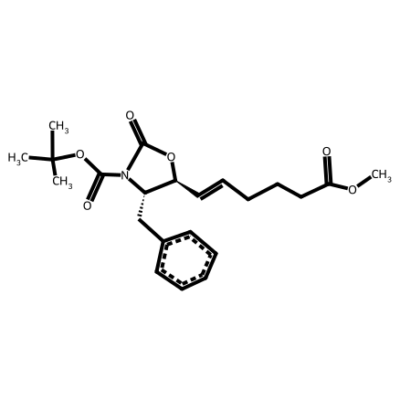 COC(=O)CCC/C=C/[C@@H]1OC(=O)N(C(=O)OC(C)(C)C)[C@H]1Cc1ccccc1